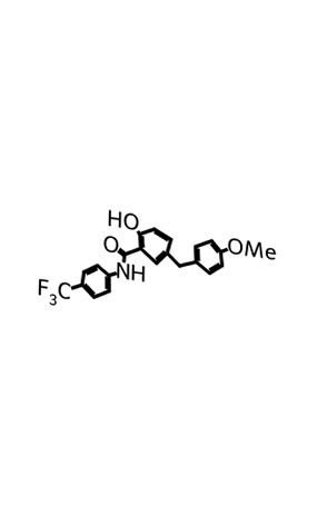 COc1ccc(Cc2ccc(O)c(C(=O)Nc3ccc(C(F)(F)F)cc3)c2)cc1